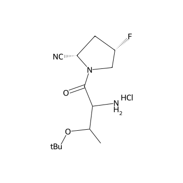 CC(OC(C)(C)C)C(N)C(=O)N1C[C@@H](F)C[C@H]1C#N.Cl